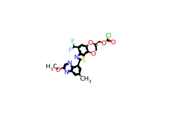 COc1cnc2c(-c3nc4c(C(F)F)cc5c(c4s3)OC[C@H](COC(=O)Cl)O5)cc(C)cc2n1